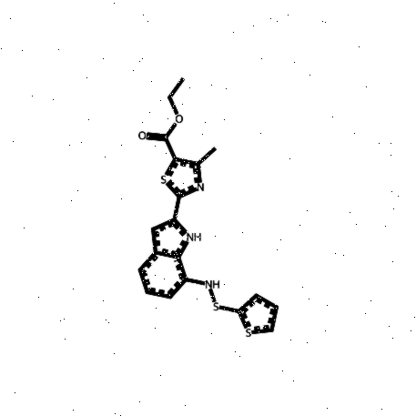 CCOC(=O)c1sc(-c2cc3cccc(NSc4cccs4)c3[nH]2)nc1C